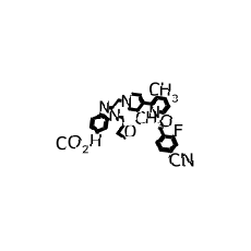 Cc1ccc(OCc2ccc(C#N)cc2F)nc1C1=CCN(Cc2nc3ccc(C(=O)O)cc3n2C[C@@H]2CCO2)CC1C